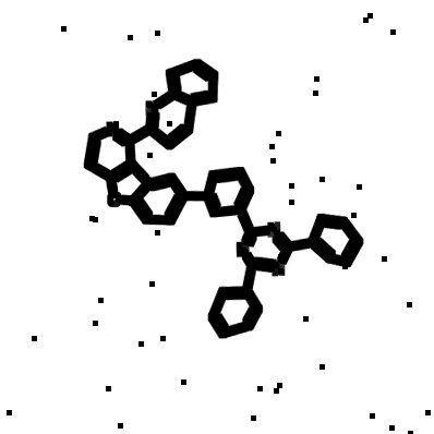 c1ccc(-c2nc(-c3ccccc3)nc(-c3cccc(-c4ccc5oc6ccnc(-c7ccc8ccccc8n7)c6c5c4)c3)n2)cc1